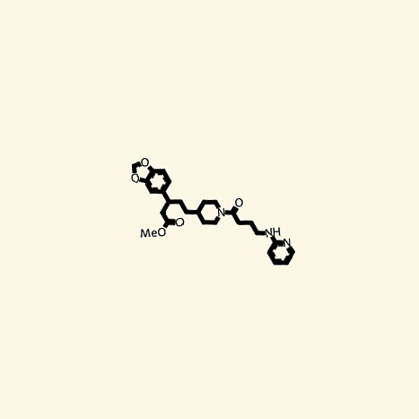 COC(=O)CC(CCC1CCN(C(=O)CCCNc2ccccn2)CC1)c1ccc2c(c1)OCO2